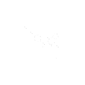 Cc1csc2nc(Nc3ccc(N4CCN(C)CC4)cc3)nc(NC3CCOCC3)c12